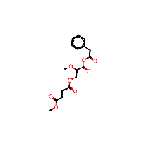 COC(=O)C=CC(=O)OCC(OC)C(=O)OC(=O)Cc1ccccc1